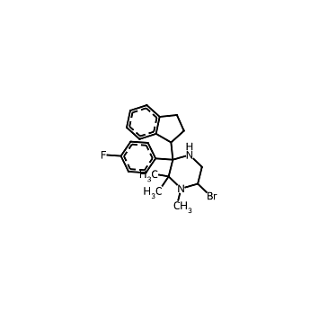 CN1C(Br)CNC(c2ccc(F)cc2)(C2CCc3ccccc32)C1(C)C